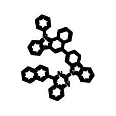 C1=CC2C(C3=Cc4c(c5ccccc5n4-c4nc(-c5ccc6ccccc6c5)c5ccccc5n4)CC3)=Cc3c(n(-c4ccccc4)c4ccccc34)C2C=C1